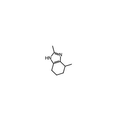 Cc1nc2c([nH]1)CCCC2C